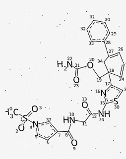 CS(=O)(=O)n1ccc(C(=O)NCC(=O)Nc2nc(C3(COC(N)=O)C=CC=C(c4ccccc4)C3)cs2)c1